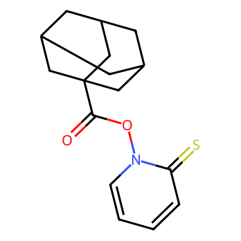 O=C(On1ccccc1=S)C12CC3CC(CC(C3)C1)C2